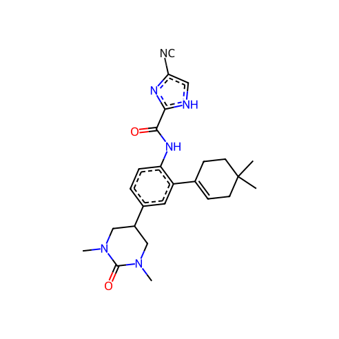 [C-]#[N+]c1c[nH]c(C(=O)Nc2ccc(C3CN(C)C(=O)N(C)C3)cc2C2=CCC(C)(C)CC2)n1